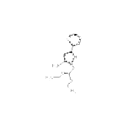 CCOC(Cn1nc(-c2cnccn2)cc1N)OCC